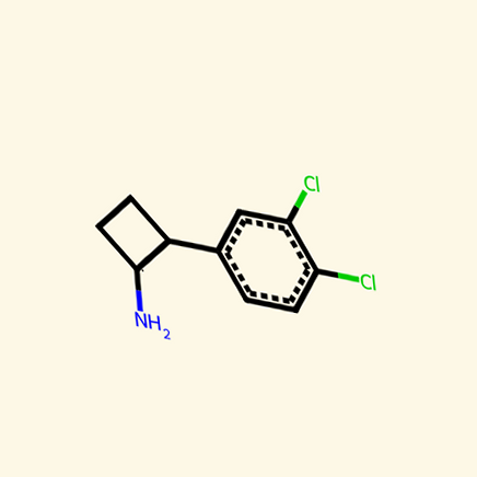 N[C]1CCC1c1ccc(Cl)c(Cl)c1